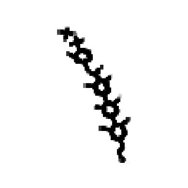 CCCc1cc(F)c(-c2cc(F)c(-c3cc(F)c(C(=O)Oc4ccc(C(F)(F)OC(F)(F)F)c(F)c4)c(F)c3)c(F)c2)c(F)c1